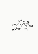 CCC(C(=O)O)C1[CH]CCC(C(CC)C(=O)O)C1